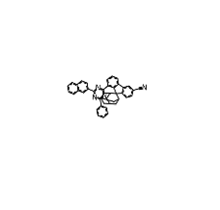 N#Cc1ccc2c(c1)-c1cccc(-c3nc(-c4ccccc4)nc(-c4ccc5ccccc5c4)n3)c1C21C2CC3CC(C2)CC1C3